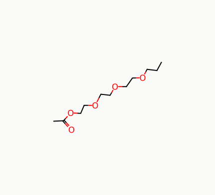 CCCOCCOCCOCCOC(C)=O